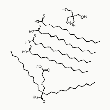 CCCCCCCCCCCCC(CCCCCCCCCCCC)(CSCCC(=O)O)C(=O)O.CCCCCCCCCCCCCCC(O)=S.CCCCCCCCCCCCCCC(O)=S.CCCCCCCCCCCCCCC(O)=S.CCCCCCCCCCCCCCC(O)=S.OCC(CO)(CO)CO